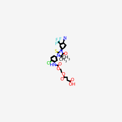 CC1(C)C(=O)N(c2ccc(C#N)c(C(F)(F)F)c2)C(=S)N1c1ccc(Cl)c(NC(=O)OCCOC(=O)CCC(=O)O)c1